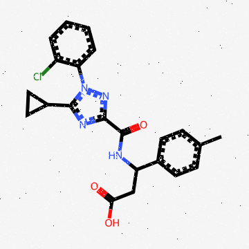 Cc1ccc(C(CC(=O)O)NC(=O)c2nc(C3CC3)n(-c3ccccc3Cl)n2)cc1